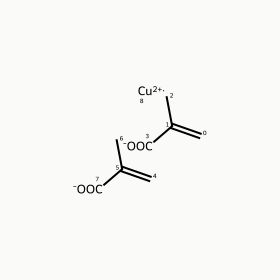 C=C(C)C(=O)[O-].C=C(C)C(=O)[O-].[Cu+2]